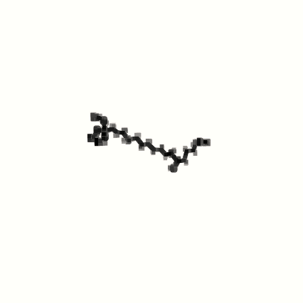 CCCCCCCCCCCCCC(=O)SCCCCCCSCCC[Si](OCC)(OCC)OCC